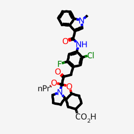 CCCOC(OC1CCC(C(=O)O)CC1)(C(=O)Cc1cc(Cl)c(NC(=O)c2cn(C)c3ccccc23)cc1F)N1CCCC1